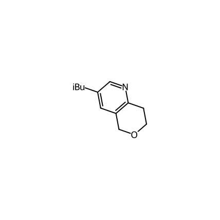 CCC(C)c1cnc2c(c1)COCC2